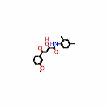 COc1cccc(C(=O)/C=C(\O)C(=O)Nc2ccc(C)cc2C)c1